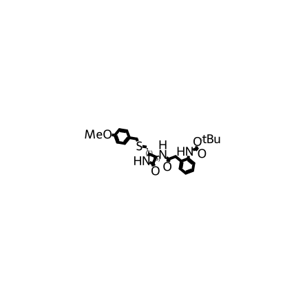 COc1ccc(CSC[C@H]2NC(=O)[C@H]2NC(=O)Cc2ccccc2NC(=O)OC(C)(C)C)cc1